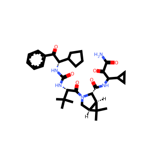 CC(C)(C)[C@H](NC(=O)N[C@H](C(=O)c1ccccc1)C1CCCC1)C(=O)N1C[C@H]2[C@@H]([C@H]1C(=O)NC(C(=O)C(N)=O)C1CC1)C2(C)C